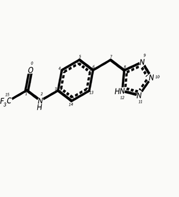 O=C(Nc1ccc(Cc2nnn[nH]2)cc1)C(F)(F)F